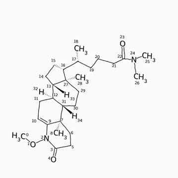 CON1C(=O)CC[C@@]2(C)C1=CC[C@H]1[C@@H]3CC[C@H]([C@H](C)CCCC(=O)N(C)C)[C@@]3(C)CC[C@@H]12